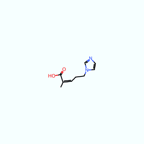 CC(=CCCn1ccnc1)C(=O)O